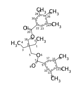 CCC(CC)(COC(=O)c1cc(C)c(C)c(C)c1)COC(=O)c1cc(C)c(C)c(C)c1